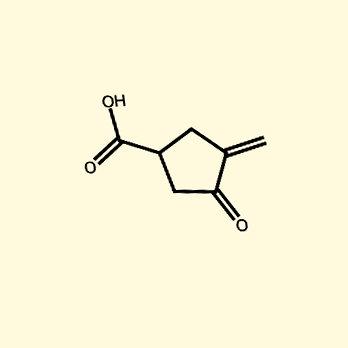 C=C1CC(C(=O)O)CC1=O